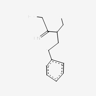 CCC(=N)C(CC)CCc1cc[c]cc1